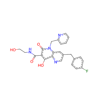 O=C(NCCO)c1c(O)c2ncc(Cc3ccc(F)cc3)cc2n(Cc2ccccn2)c1=O